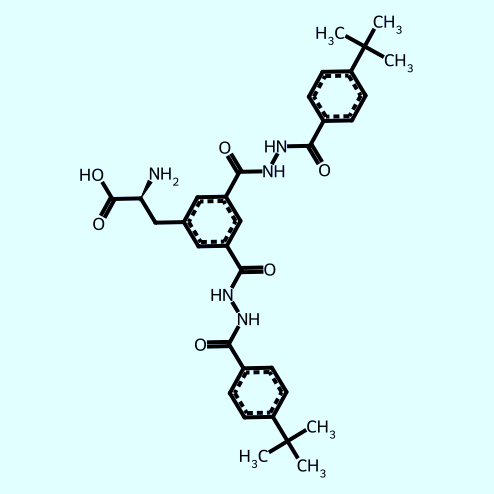 CC(C)(C)c1ccc(C(=O)NNC(=O)c2cc(C[C@H](N)C(=O)O)cc(C(=O)NNC(=O)c3ccc(C(C)(C)C)cc3)c2)cc1